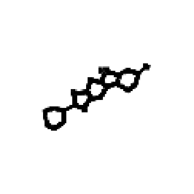 Brc1ccc2c(c1)[nH]c1cc3oc(-c4ccccc4)nc3cc12